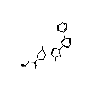 CC1CN(C(=O)OC(C)(C)C)C[C@H]1c1cc(-c2cccc(-c3ccccc3)c2)n[nH]1